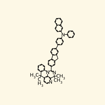 CC1(C)N=C(c2ccc3c(c2)Cc2cc(-c4ccc(N(c5ccccc5)c5ccc6ccccc6c5)cc4)ccc2-3)N2c3ccccc3C(C)(C)c3ccnc1c32